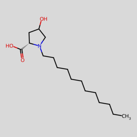 CCCCCCCCCCCCN1CC(O)C[C@H]1C(=O)O